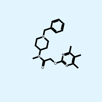 Cc1nc(OCC(=O)N(C)C2CCN(Cc3ccccc3)CC2)nc(C)c1C